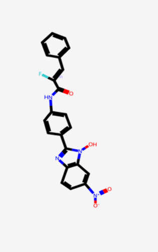 O=C(Nc1ccc(-c2nc3ccc([N+](=O)[O-])cc3n2O)cc1)/C(F)=C/c1ccccc1